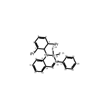 CC(C)C1=CC=CC(C(C)C)C1N1c2ccccc2C=[N+](c2ccccc2)[B-]1(F)F